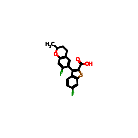 C[C@H]1CCc2cc(-c3c(C(=O)O)sc4cc(F)ccc34)c(F)cc2O1